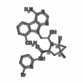 C[C@@]12C[C@@H](C(=O)Nc3cccc(Br)n3)N(C(O)Cn3c4ncnc(N)c4c4cccc(C(=O)O)c43)[C@@H]1C2